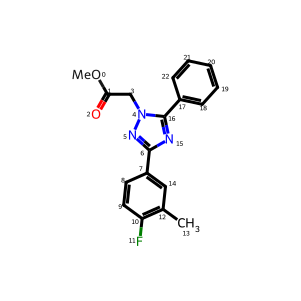 COC(=O)Cn1nc(-c2ccc(F)c(C)c2)nc1-c1ccccc1